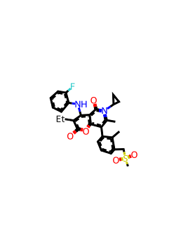 CCc1c(Nc2ccccc2F)c2c(=O)n(C3CC3)c(C)c(-c3cccc(CS(C)(=O)=O)c3C)c2oc1=O